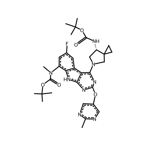 Cc1ncc(Oc2nc(N3C[C@H](NC(=O)OC(C)(C)C)C4(CC4)C3)c3c(n2)[nH]c2c(N(C)C(=O)OC(C)(C)C)cc(F)cc23)cn1